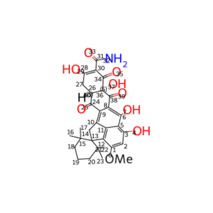 COc1cc(O)c2c(O)c3c(c4c2c1C1(C4)C(C)(C)CCCC1(C)C)C(=O)[C@H]1CC(O)=C(C(N)=O)C(=O)[C@@]1(O)C3=O